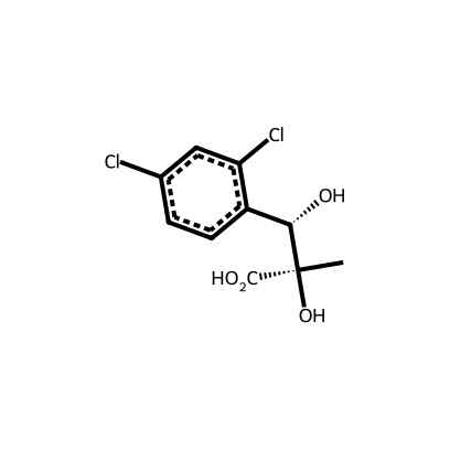 C[C@](O)(C(=O)O)[C@@H](O)c1ccc(Cl)cc1Cl